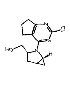 OC[C@@H]1CC2C[C@H]2N1c1nc(Cl)nc2c1CCC2